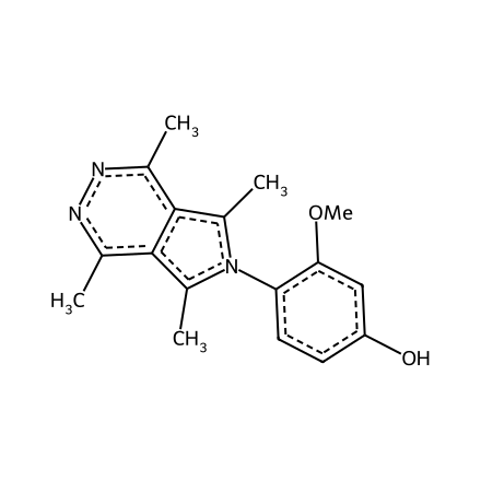 COc1cc(O)ccc1-n1c(C)c2c(C)nnc(C)c2c1C